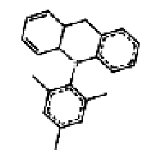 Cc1cc(C)c(B2c3ccccc3CC3C=CC=CC23)c(C)c1